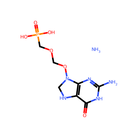 N.Nc1nc2c(c(=O)[nH]1)NCN2OCOCP(=O)(O)O